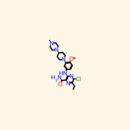 CCc1nc(C(N)=O)c(Nc2ccc(OC)c(N3CCC(N4CCN(C)CC4)CC3)c2)nc1Cl